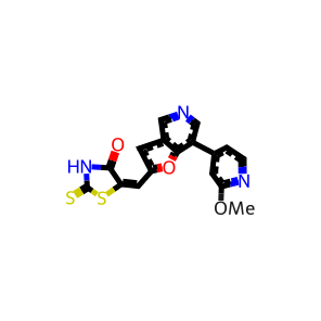 COc1cc(-c2cncc3cc(C=C4SC(=S)NC4=O)oc23)ccn1